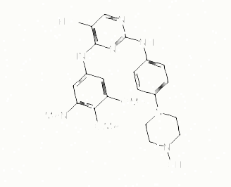 CNc1cc(Nc2nc(Nc3ccc(N4CCN(C)CC4)cc3)ncc2C)cc(OC)c1OC